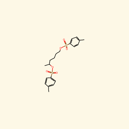 Cc1ccc(S(=O)(=O)OCCCCC(C)OS(=O)(=O)c2ccc(C)cc2)cc1